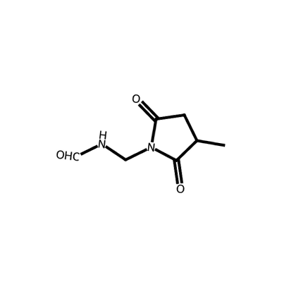 CC1CC(=O)N(CNC=O)C1=O